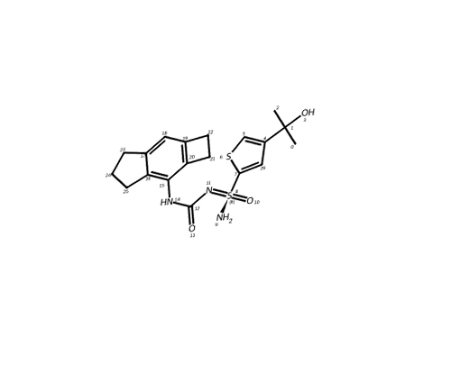 CC(C)(O)c1csc([S@](N)(=O)=NC(=O)Nc2c3c(cc4c2CC4)CCC3)c1